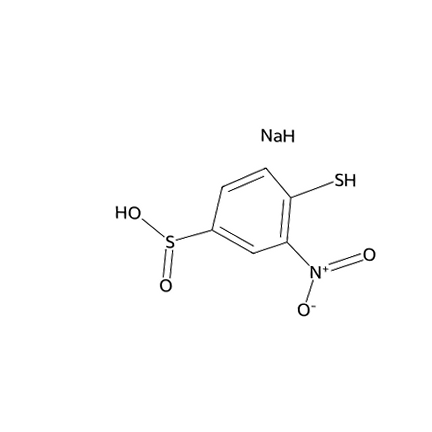 O=[N+]([O-])c1cc(S(=O)O)ccc1S.[NaH]